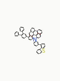 c1ccc(-c2ccc(-c3ccc(N(c4cccc(-c5cccc6sc7ccccc7c56)c4)c4ccccc4-c4cccc5cccc(-c6ccccc6)c45)cc3)cc2-c2ccccc2)cc1